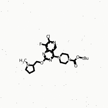 CN1CCCC1COc1nc(N2CCN(C(=O)OC(C)(C)C)CC2)c2cnc(Cl)c(F)c2n1